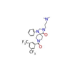 CN(C)CCCN1CN(c2ccccc2)C2(CCN(C(=O)c3cc(C(F)(F)F)cc(C(F)(F)F)c3)CC2)C1=O